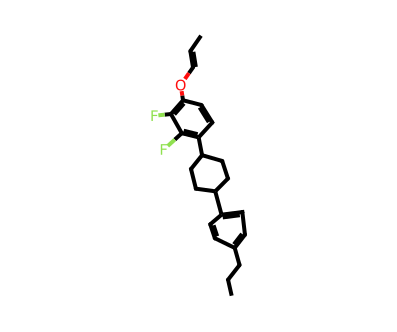 C/C=C/Oc1ccc(C2CCC(c3ccc(CCC)cc3)CC2)c(F)c1F